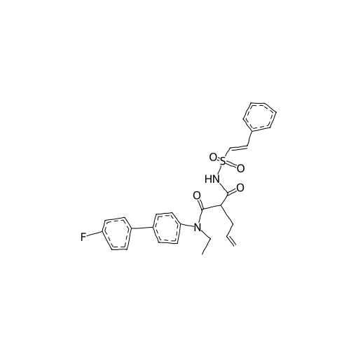 C=CCC(C(=O)NS(=O)(=O)C=Cc1ccccc1)C(=O)N(CC)c1ccc(-c2ccc(F)cc2)cc1